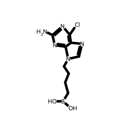 Nc1nc(Cl)c2ncn(CCCCB(O)O)c2n1